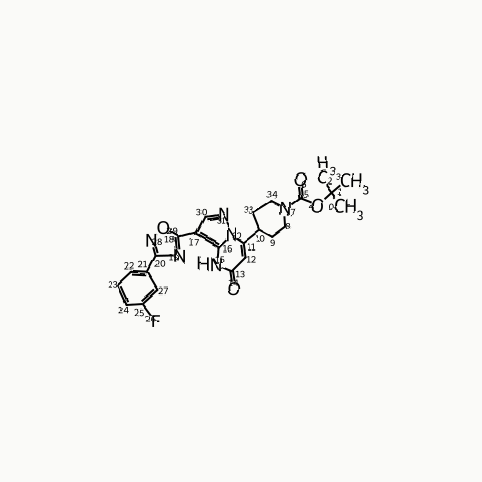 CC(C)(C)OC(=O)N1CCC(c2cc(=O)[nH]c3c(-c4nc(-c5cccc(F)c5)no4)cnn23)CC1